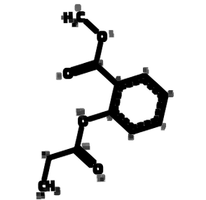 [CH2]OC(=O)c1ccccc1OC(=O)CC